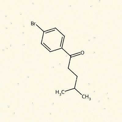 CC(C)CCC(=O)c1ccc(Br)cc1